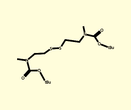 CN(CCSSCCN(C)C(=O)OC(C)(C)C)C(=O)OC(C)(C)C